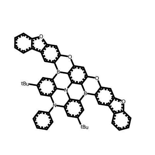 CC(C)(C)c1cc2c3c(c1)N(c1ccccc1)c1cc(C(C)(C)C)cc4c1N3c1c3c(cc5c1B4c1cc4c(cc1O5)oc1ccccc14)Oc1cc4oc5ccccc5c4cc1B23